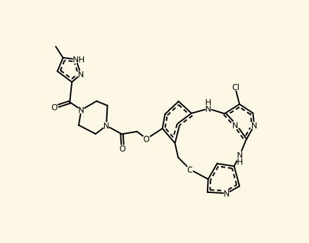 Cc1cc(C(=O)N2CCN(C(=O)COc3ccc4cc3CCc3cncc(c3)Nc3ncc(Cl)c(n3)N4)CC2)n[nH]1